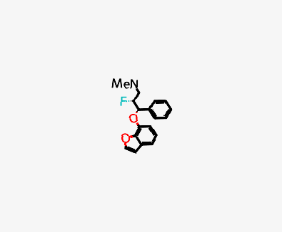 CNC[C@@H](F)[C@@H](Oc1cccc2ccoc12)c1ccccc1